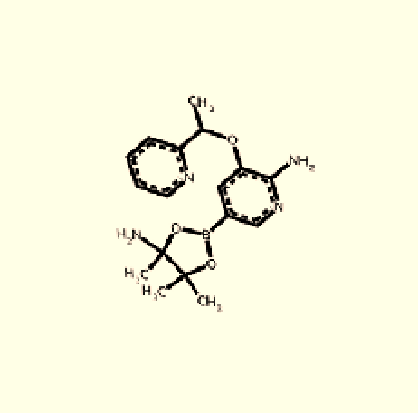 CC(Oc1cc(B2OC(C)(C)C(C)(N)O2)cnc1N)c1ccccn1